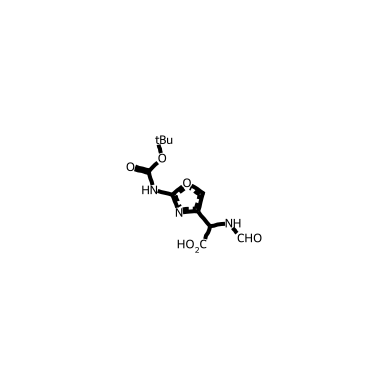 CC(C)(C)OC(=O)Nc1nc(C(NC=O)C(=O)O)co1